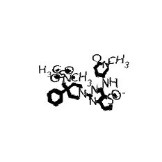 CN1CC(Nc2nc(N3CCC(CN(C)S(C)(=O)=O)(c4ccccc4)CC3)nc3c2[S+]([O-])CC3)CCC1=O